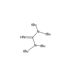 CC(C)(C)N(C(=N)N(C(C)(C)C)C(C)(C)C)C(C)(C)C